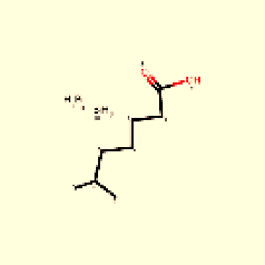 CC(C)CCCCC(=O)O.[BiH3].[BiH3]